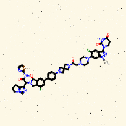 Cn1nc(N2CCC(=O)NC2=O)c2cc(F)c(N3CCN(CC(=O)N4CC5(C4)CN(c4ccc(-c6cc(F)c7c(c6)C(=O)N(C(C(=O)Nc6nccs6)c6ncn8c6CCC8)C7)cc4)C5)CC3)cc21